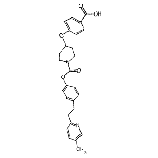 Cc1ccc(CCc2ccc(OC(=O)N3CCC(Oc4ccc(C(=O)O)cc4)CC3)cc2)nc1